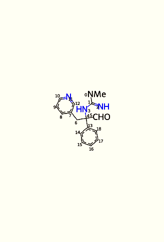 CNC(=N)NC(C=O)(Cc1cccnc1)c1ccccc1